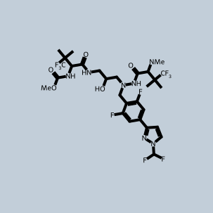 CNC(C(=O)NN(Cc1c(F)cc(-c2ccn(C(F)F)n2)cc1F)CC(O)CNC(=O)C(NC(=O)OC)C(C)(C)C(F)(F)F)C(C)(C)C(F)(F)F